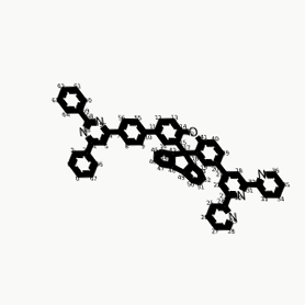 c1ccc(-c2cc(-c3ccc(-c4ccc5c(c4)C4(c6cc(-c7cc(-c8ccccn8)nc(-c8ccccn8)c7)ccc6O5)c5ccccc5-c5ccccc54)cc3)nc(-c3ccccc3)n2)cc1